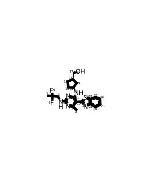 Cc1nc(NCC(C)(F)F)nc(N[C@H]2CC[C@@H](CO)C2)c1-c1nc2ccccc2s1